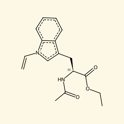 C=Cn1cc(C[C@H](NC(C)=O)C(=O)OCC)c2ccccc21